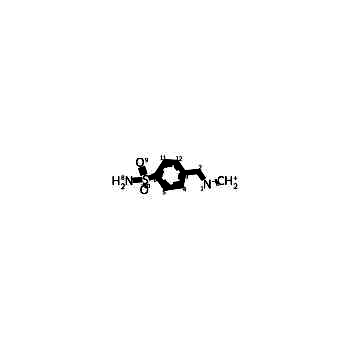 [CH2+][N-]Cc1ccc(S(N)(=O)=O)cc1